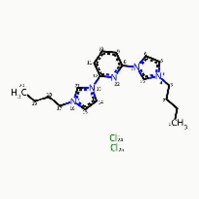 CCCC[n+]1ccn(-c2cccc(-n3cc[n+](CCCC)c3)n2)c1.[Cl-].[Cl-]